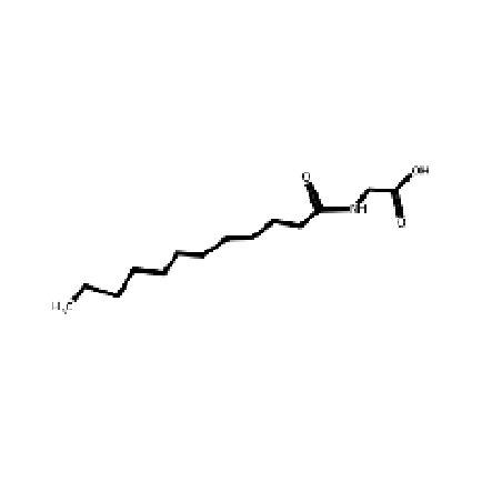 CCCCCCCCCCCC(=O)NCC(=O)O